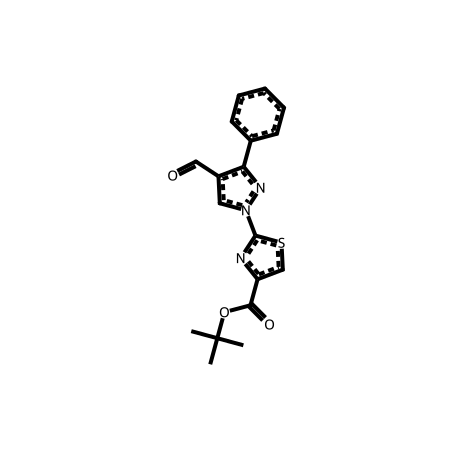 CC(C)(C)OC(=O)c1csc(-n2cc(C=O)c(-c3ccccc3)n2)n1